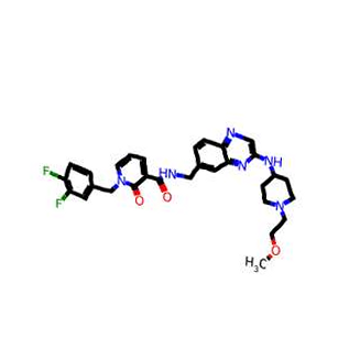 COCCN1CCC(Nc2cnc3ccc(CNC(=O)c4cccn(Cc5ccc(F)c(F)c5)c4=O)cc3n2)CC1